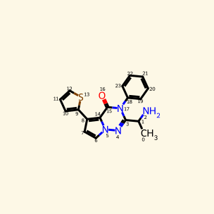 CC(N)c1nn2ccc(-c3cccs3)c2c(=O)n1-c1ccccc1